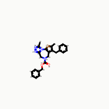 Cc1sc2c(c1Cc1ccccc1)CN(C(=O)OCc1ccccc1)Cc1nnc(C)n1-2